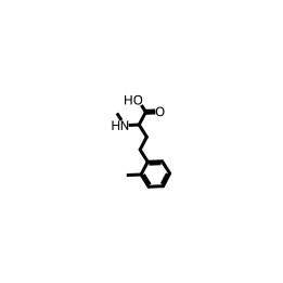 CNC(CCc1ccccc1C)C(=O)O